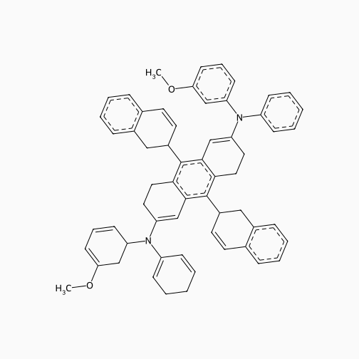 COC1=CC=CC(N(C2=CCCC=C2)C2=Cc3c(c(C4C=Cc5ccccc5C4)c4c(c3C3C=Cc5ccccc5C3)CCC(N(c3ccccc3)c3cccc(OC)c3)=C4)CC2)C1